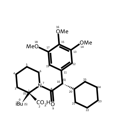 CC[C@H](C)[C@]1(C(=O)O)CCCCN1C(=O)[C@H](c1cc(OC)c(OC)c(OC)c1)C1CCCCC1